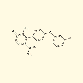 Cn1c(-c2ccc(Oc3cccc(F)c3)cn2)c(C(N)=O)ccc1=O